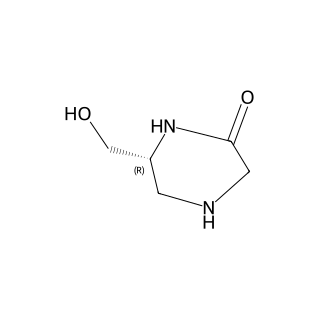 O=C1CNC[C@H](CO)N1